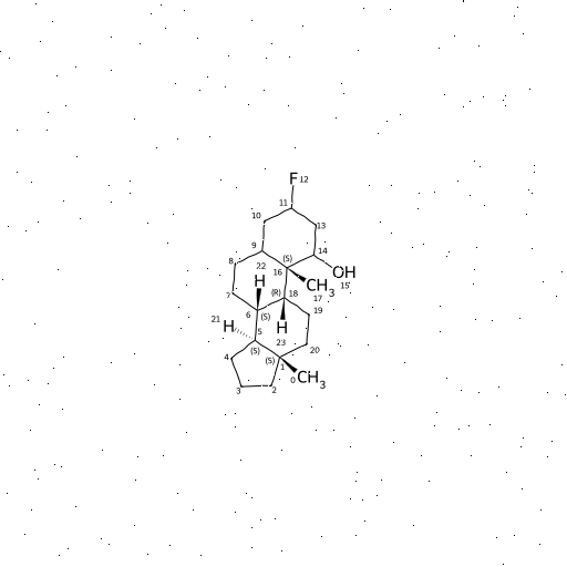 C[C@@]12CCC[C@H]1[C@@H]1CCC3CC(F)CC(O)[C@]3(C)[C@@H]1CC2